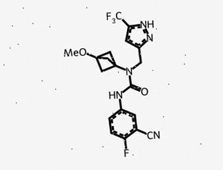 COC12CC(N(Cc3cc(C(F)(F)F)[nH]n3)C(=O)Nc3ccc(F)c(C#N)c3)(C1)C2